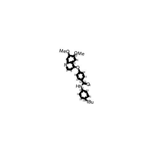 COc1cc2nccc(Oc3ccc(C(=O)Nc4ccc(C(C)(C)C)cc4)cc3)c2cc1OC